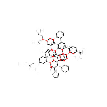 C#CCOc1c(-c2ccc(OCC(=C)C)cc2-c2cc(C3C=CCC3)c(-c3ccccc3)c(C3CC=CCC3)c2C2(c3ccccc3)CCC=CCC2)cccc1-c1cccc(-c2cc(C(C)=O)ccc2-c2[c]c(-c3ccccc3C(=O)CCCC)c(-c3ccc(C(=O)CCC)cc3)c(C(=O)C(C)C)c2-c2ccccc2C(=O)CC)c1C(C)=O